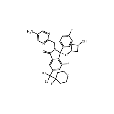 CCC(O)(c1cc(F)c2c(c1)C(=O)N(Cc1ncc(N)cn1)[C@@]2(O[C@H]1C[C@@H](O)C1)c1ccc(Cl)cc1)C1(F)CCOCC1